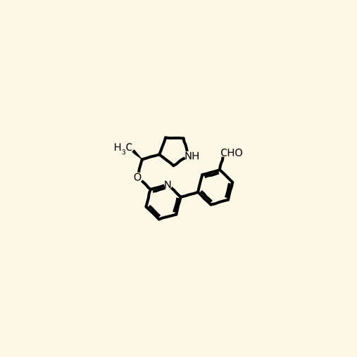 C[C@H](Oc1cccc(-c2cccc(C=O)c2)n1)C1CCNC1